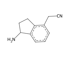 N#CCc1cccc2c1CCC2N